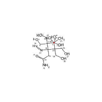 CC(O)C(CO)(CO)C(CC(N)=O)(N=N)C(CO)(CO)C(C)O